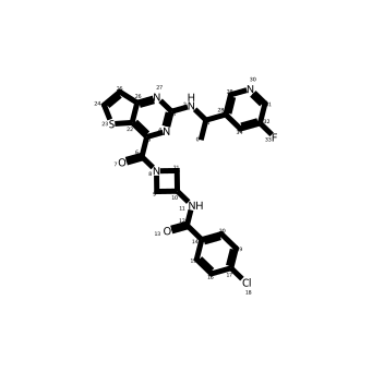 CC(Nc1nc(C(=O)N2CC(NC(=O)c3ccc(Cl)cc3)C2)c2sccc2n1)c1cncc(F)c1